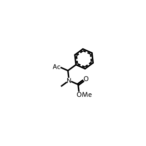 COC(=O)N(C)C(C(C)=O)c1ccccc1